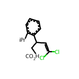 CC(C)c1ccccc1C(C=C(Cl)Cl)CC(=O)O